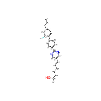 C=CCc1ccc(-c2ccc(-c3ncc(C=CCCCC(C)O)cn3)cc2)c(F)c1